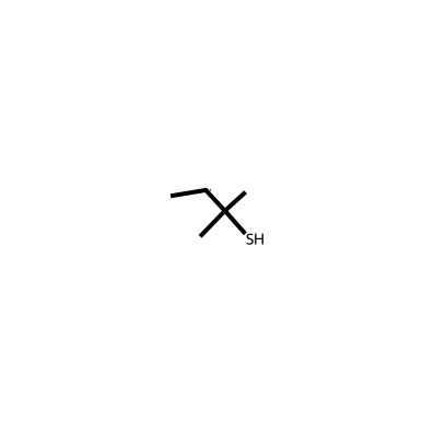 C[CH]C(C)(C)S